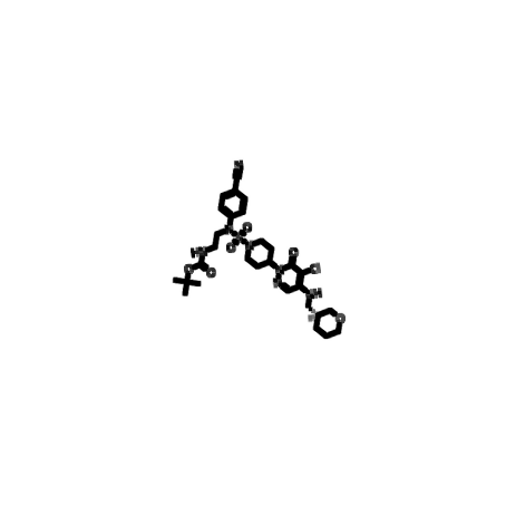 CC(C)(C)OC(=O)NCCN(c1ccc(C#N)cc1)S(=O)(=O)N1CCC(n2ncc(NC[C@H]3CCCOC3)c(Cl)c2=O)CC1